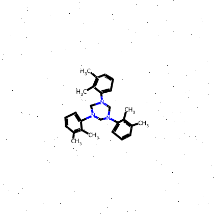 Cc1cccc(N2CN(c3cccc(C)c3C)CN(c3cccc(C)c3C)C2)c1C